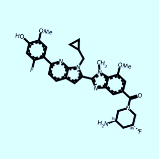 COc1cc(-c2ccc3cc(-c4nc5cc(C(=O)N6C[C@H](N)C[C@@H](F)C6)cc(OC)c5n4C)n(CC4CC4)c3n2)c(F)cc1O